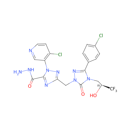 NNC(=O)c1nc(Cn2nc(-c3ccc(Cl)cc3)n(C[C@H](O)C(F)(F)F)c2=O)nn1-c1cnccc1Cl